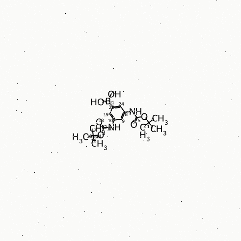 CC(C)(C)OC(=O)Nc1cc(NC(=O)OC(C)(C)C)cc(B(O)O)c1